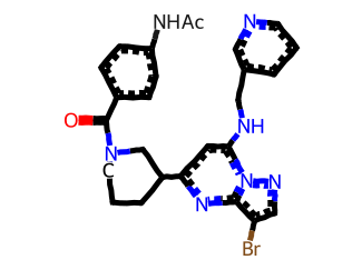 CC(=O)Nc1ccc(C(=O)N2CCCC(c3cc(NCc4cccnc4)n4ncc(Br)c4n3)C2)cc1